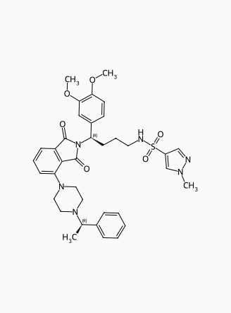 COc1ccc([C@@H](CCCNS(=O)(=O)c2cnn(C)c2)N2C(=O)c3cccc(N4CCN([C@H](C)c5ccccc5)CC4)c3C2=O)cc1OC